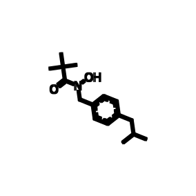 CC(C)Cc1ccc(CN(O)C(=O)C(C)(C)C)cc1